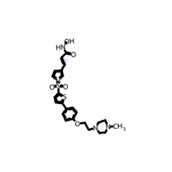 CN1CCN(CCOc2ccc(-c3ccc(S(=O)(=O)n4ccc(/C=C/C(=O)NO)c4)s3)cc2)CC1